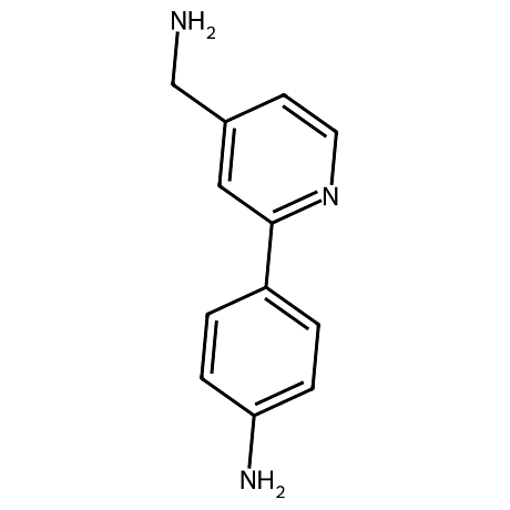 NCc1ccnc(-c2ccc(N)cc2)c1